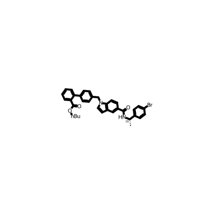 CCCCOC(=O)c1ccccc1-c1ccc(Cn2ccc3cc(C(=O)N[C@@H](C)c4ccc(Br)cc4)ccc32)cc1